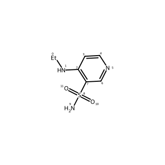 CCNc1ccncc1S(N)(=O)=O